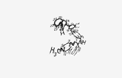 CN1CCN(CC2(NC3CCN(c4cccc(-c5cc6ccccc6[nH]5)c4)CC3)CC2)CC1